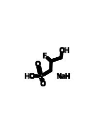 O=S(=O)(O)CC(F)CO.[NaH]